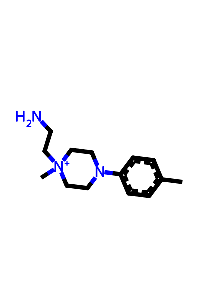 Cc1ccc(N2CC[N+](C)(CCN)CC2)cc1